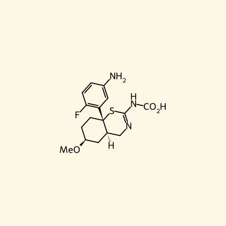 CO[C@H]1CC[C@]2(c3cc(N)ccc3F)SC(NC(=O)O)=NC[C@H]2C1